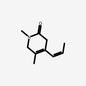 C/C=C\C1=C(C)CN(C)C(=O)C1